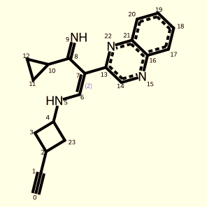 C#CC1CC(N/C=C(\C(=N)C2CC2)c2cnc3ccccc3n2)C1